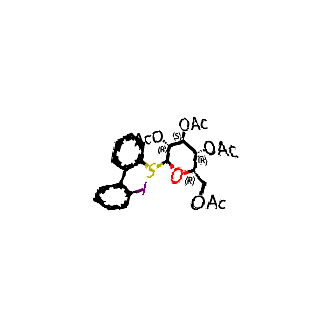 CC(=O)OC[C@H]1OC(Sc2ccccc2-c2ccccc2I)[C@H](OC(C)=O)[C@@H](OC(C)=O)[C@@H]1OC(C)=O